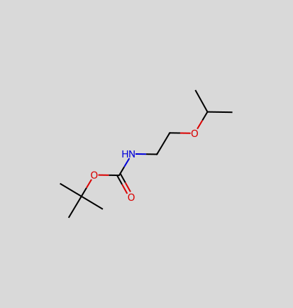 CC(C)OCCNC(=O)OC(C)(C)C